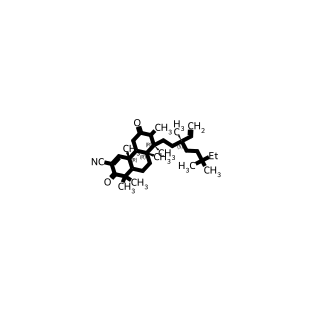 C=C[C@@](C)(CCC(C)(C)CC)CC[C@]1(C)C(C)C(=O)CC2[C@@]3(C)C=C(C#N)C(=O)C(C)(C)C3CC[C@]21C